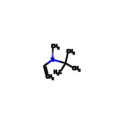 C=CN(C)C(C)(C)C